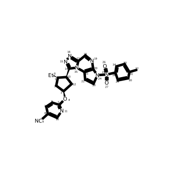 CC[C@H]1C[C@H](Oc2ccc(C#N)cn2)C[C@@H]1c1nnc2cnc3c(ccn3S(=O)(=O)c3ccc(C)cc3)n12